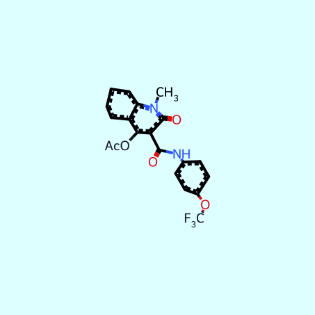 CC(=O)Oc1c(C(=O)Nc2ccc(OC(F)(F)F)cc2)c(=O)n(C)c2ccccc12